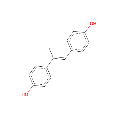 [CH2]/C(=C\c1ccc(O)cc1)c1ccc(O)cc1